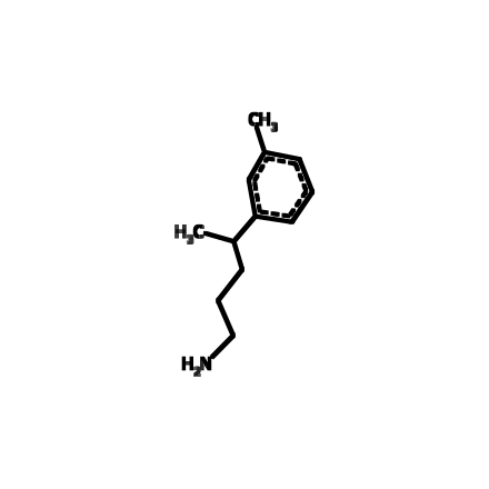 Cc1cccc(C(C)CCCN)c1